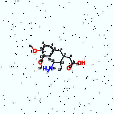 COc1ccc(CC(CC(=O)O)C(C)CN)cc1OC